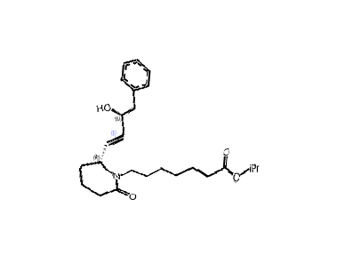 CC(C)OC(=O)CCCCCCN1C(=O)CCC[C@@H]1/C=C/[C@@H](O)Cc1ccccc1